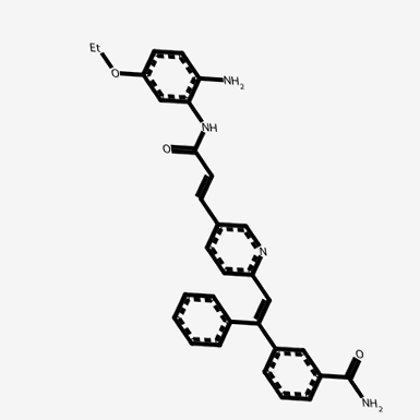 CCOc1ccc(N)c(NC(=O)/C=C/c2ccc(/C=C(\c3ccccc3)c3cccc(C(N)=O)c3)nc2)c1